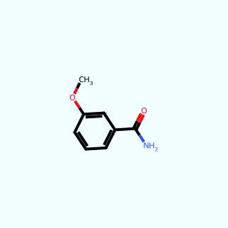 COc1[c]c(C(N)=O)ccc1